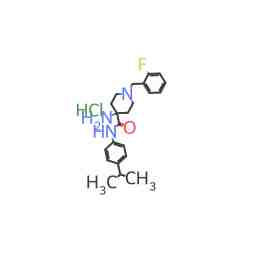 CC(C)c1ccc(NC(=O)C2(N)CCN(Cc3ccccc3F)CC2)cc1.Cl